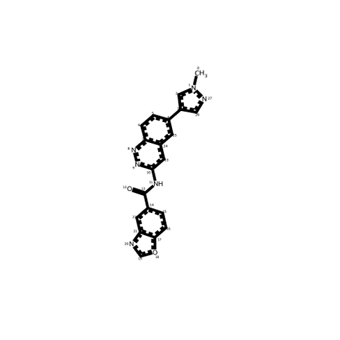 Cn1cc(-c2ccc3nnc(NC(=O)c4ccc5ocnc5c4)cc3c2)cn1